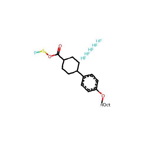 CCCCCCCCOc1ccc(C2CCC(C(=O)OSF)CC2)cc1.F.F.F.F.F